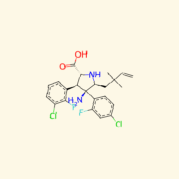 C=CC(C)(C)C[C@@H]1N[C@@H](C(=O)O)[C@H](c2cccc(Cl)c2F)[C@@]1(N)c1ccc(Cl)cc1F